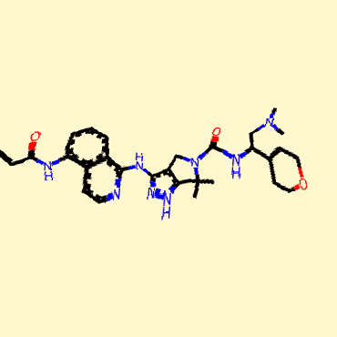 C=CC(=O)Nc1cccc2c(Nc3n[nH]c4c3CN(C(=O)NC(CN(C)C)C3CCOCC3)C4(C)C)nccc12